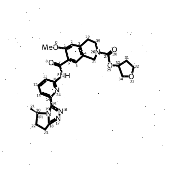 COc1cc2c(cc1C(=O)Nc1cccc(-c3nnc4n3[C@H](C)CC4)n1)CN(C(=O)OC1CCOC1)CC2